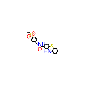 CCS(=O)(=O)c1ccc(CNC(=O)c2ccc3c(c2)Nc2ccccc2S3)cc1